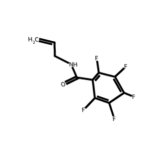 C=CCNC(=O)c1c(F)c(F)c(F)c(F)c1F